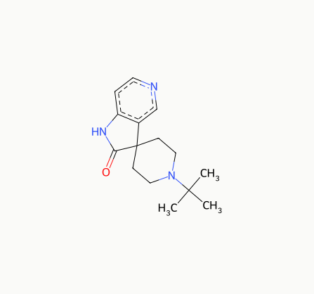 CC(C)(C)N1CCC2(CC1)C(=O)Nc1ccncc12